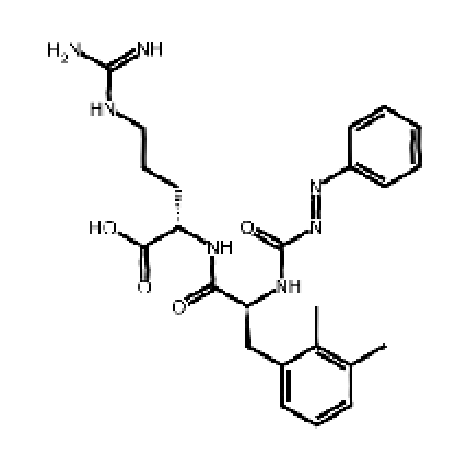 Cc1cccc(C[C@H](NC(=O)N=Nc2ccccc2)C(=O)N[C@@H](CCCNC(=N)N)C(=O)O)c1C